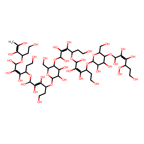 C/C(O)=C(\O)C(CCO)OC(O)/C(O)=C(/O)C(CCO)OC(O)/C(O)=C(\O)C(CCO)OC1OC(CO)C(OC(O)/C(O)=C(/O)C(CCO)OC(O)/C(O)=C(/O)C(CCO)OC2OC(CO)C(OC(O)/C(O)=C(/O)C(CCO)OO)C(O)C2O)C(O)C1O